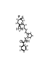 N[C@@H](CCN1CCC[C@H]1CNC(=O)c1ccccc1)CN1CC(F)(F)CCC1=O